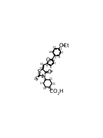 CCOc1ccc(-c2ccc(/C=C3/SC(=S)N(C4CCC(C(=O)O)CC4)C3=O)o2)cc1